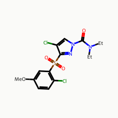 CCN(CC)C(=O)n1cc(Cl)c(S(=O)(=O)c2cc(OC)ccc2Cl)n1